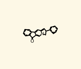 O=C1C2=CN3CC(c4ccccc4)C=C3C=C2c2ccccc21